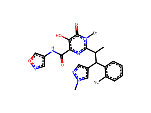 CCn1c(C(C)C(c2cnn(C)c2)c2ccccc2C#N)nc(C(=O)Nc2cnoc2)c(O)c1=O